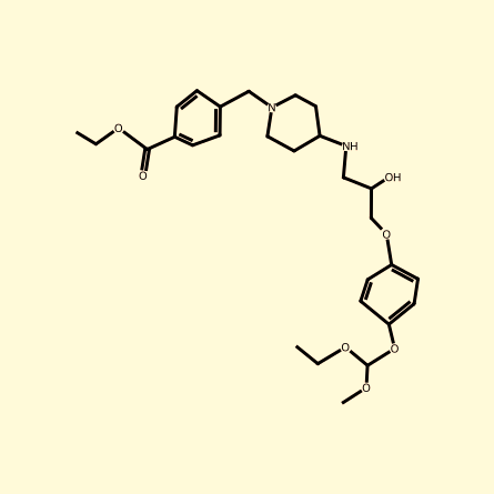 CCOC(=O)c1ccc(CN2CCC(NCC(O)COc3ccc(OC(OC)OCC)cc3)CC2)cc1